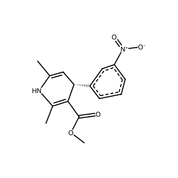 COC(=O)C1=C(C)NC(C)=C[C@@H]1c1cccc([N+](=O)[O-])c1